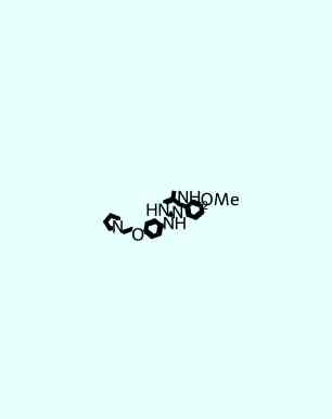 COc1cccc(C2(N)N=C(Nc3ccc(OCCN4CCCC4)cc3)NC=C2C)c1